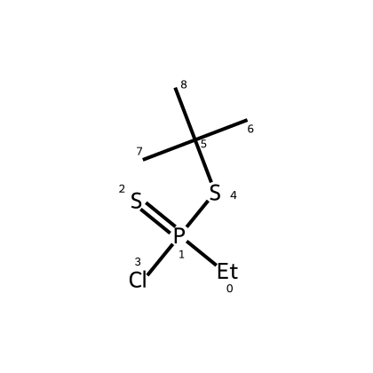 CCP(=S)(Cl)SC(C)(C)C